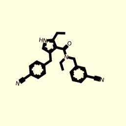 CCc1[nH]cc(Cc2ccc(C#N)cc2)c1C(=O)N(CC)Cc1cccc(C#N)c1